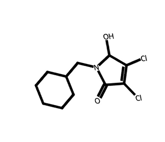 O=C1C(Cl)=C(Cl)C(O)N1CC1CCCCC1